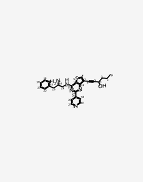 CCCC(O)C#Cc1csc2c(NCC(N)Cc3ccccc3)nc(-c3ccncc3)nc12